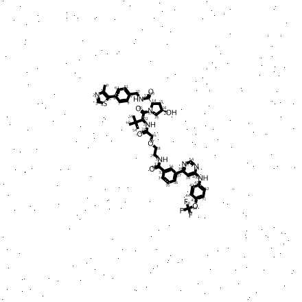 Cc1ncsc1-c1ccc(CNC(=O)[C@@H]2C[C@@H](O)CN2C(=O)C(NC(=O)COCCNC(=O)c2cccc(-c3cc(Nc4ccc(OC(F)(F)F)cc4)ncn3)c2)C(C)(C)C)cc1